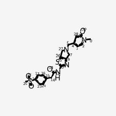 Cn1ccc(CN2Cc3nc(NC(=O)Cc4ccc(S(C)(=O)=O)cc4)sc3C2)cc1=O